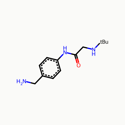 CC(C)(C)NCC(=O)Nc1ccc(CN)cc1